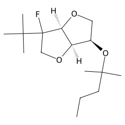 CCCC(C)(C)O[C@@H]1CO[C@H]2[C@@H]1OCC2(F)C(C)(C)C